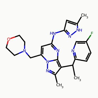 Cc1cc(Nc2cc(CN3CCOCC3)n3nc(C)c(C(C)c4ccc(F)cn4)c3n2)n[nH]1